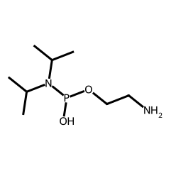 CC(C)N(C(C)C)P(O)OCCN